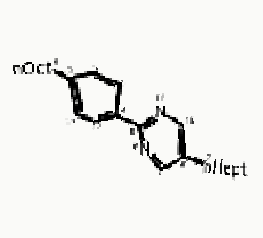 CCCCCCCCc1ccc(-c2ncc(CCCCCCC)cn2)cc1